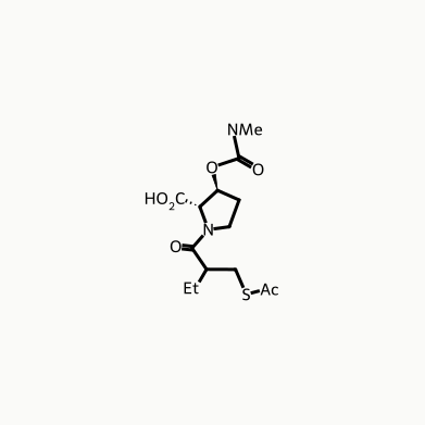 CCC(CSC(C)=O)C(=O)N1CC[C@H](OC(=O)NC)[C@H]1C(=O)O